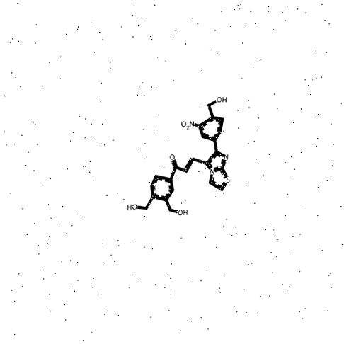 O=C(/C=C/c1c(-c2ccc(CO)c([N+](=O)[O-])c2)nc2sccn12)c1ccc(CO)c(CO)c1